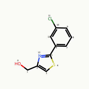 OCc1csc(-c2cccc(Cl)c2)n1